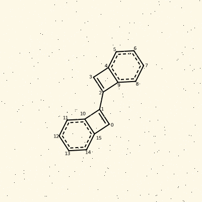 C1=C(C2=Cc3ccccc32)c2ccccc21